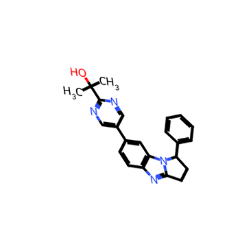 CC(C)(O)c1ncc(-c2ccc3nc4n(c3c2)C(c2ccccc2)CC4)cn1